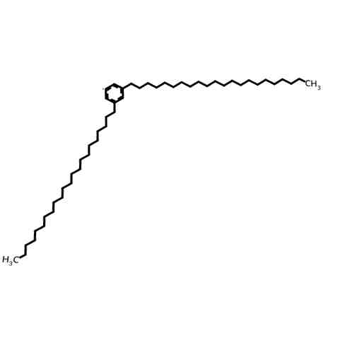 CCCCCCCCCCCCCCCCCCCCCCc1c[c]cc(CCCCCCCCCCCCCCCCCCCCCC)c1